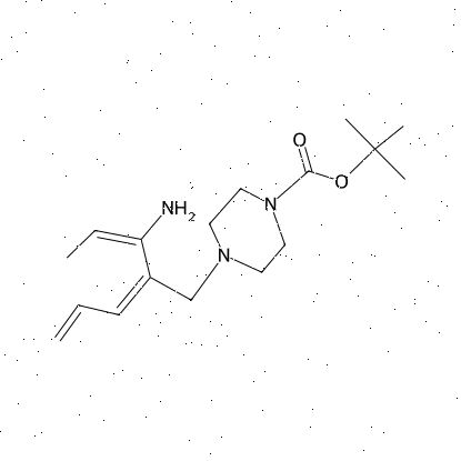 C=C/C=C(CN1CCN(C(=O)OC(C)(C)C)CC1)\C(N)=C/C